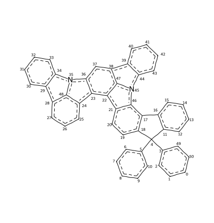 c1ccc(C2(c3ccccc3)c3ccccc3-c3c2ccc2c4c5c6cccc7c8ccccc8n(c5cc5c8ccccc8n(c32)c54)c76)cc1